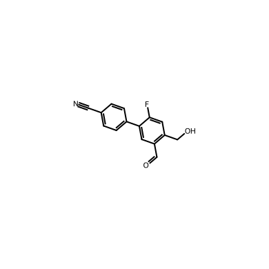 N#Cc1ccc(-c2cc(C=O)c(CO)cc2F)cc1